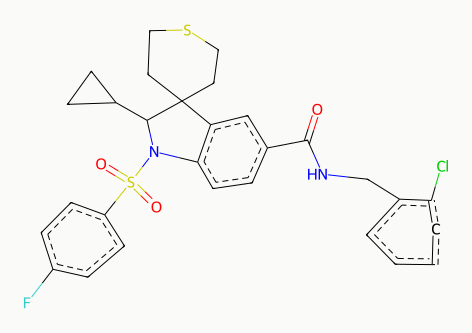 O=C(NCc1ccccc1Cl)c1ccc2c(c1)C1(CCSCC1)C(C1CC1)N2S(=O)(=O)c1ccc(F)cc1